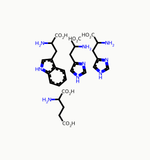 NC(CCC(=O)O)C(=O)O.NC(Cc1c[nH]c2ccccc12)C(=O)O.NC(Cc1c[nH]cn1)C(=O)O.NC(Cc1c[nH]cn1)C(=O)O